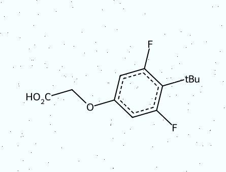 CC(C)(C)c1c(F)cc(OCC(=O)O)cc1F